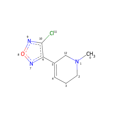 CN1CCC=C(c2nonc2Cl)C1